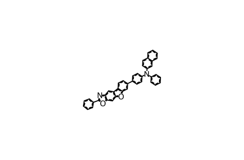 c1ccc(-c2nc3cc4c(cc3o2)oc2cc(-c3ccc(N(c5ccccc5)c5ccc6ccccc6c5)cc3)ccc24)cc1